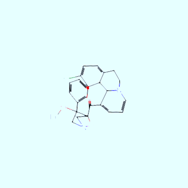 CCOC1(c2ccccc2)CN2CC1(C(=O)C1=CC=CN3CCC4=CC=C(Cl)CC4C13)O2